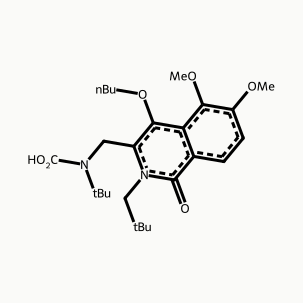 CCCCOc1c(CN(C(=O)O)C(C)(C)C)n(CC(C)(C)C)c(=O)c2ccc(OC)c(OC)c12